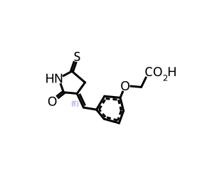 O=C(O)COc1cccc(/C=C2\CC(=S)NC2=O)c1